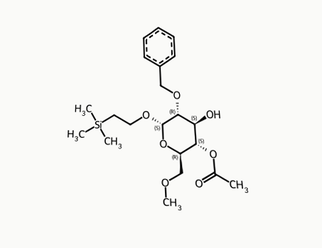 COC[C@H]1O[C@H](OCC[Si](C)(C)C)[C@H](OCc2ccccc2)[C@@H](O)[C@@H]1OC(C)=O